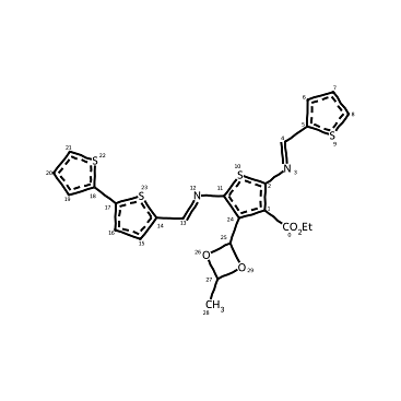 CCOC(=O)c1c(/N=C/c2cccs2)sc(/N=C/c2ccc(-c3cccs3)s2)c1C1OC(C)O1